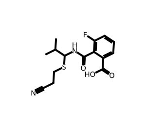 CC(C)C(NC(=O)c1c(F)cccc1C(=O)O)SCCC#N